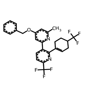 Cc1cc(OCc2ccccc2)cc(-c2ccc(C(F)(F)F)nc2C2=CCC(C(F)(F)F)CC2)n1